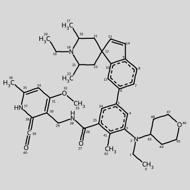 CCN(c1cc(-c2ccc3c(c2)C2(C=C3)CC(C)N(CC)C(C)C2)cc(C(=O)NCC2=C(OC)C=C(C)NC2=C=O)c1C)C1CCOCC1